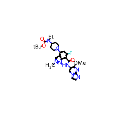 CCN(C(=O)OC(C)(C)C)C1CCN(c2cc(F)c(C(=O)Nc3cn4ccnc4nc3OC)c3nn(C)cc23)CC1